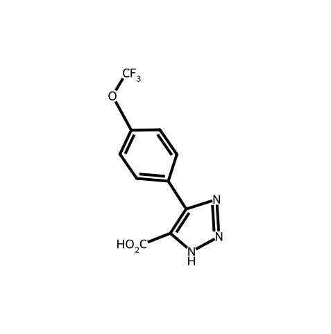 O=C(O)c1[nH]nnc1-c1ccc(OC(F)(F)F)cc1